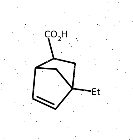 CCC12C=CC(C1)C(C(=O)O)C2